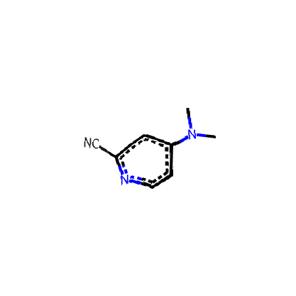 CN(C)c1ccnc(C#N)c1